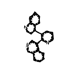 c1cnc(-c2cncc3ccccc23)c(-c2ccnc3ccccc23)c1